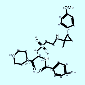 COc1ccc([C@@H]2CC2(C)NCCS(=O)(=O)C[C@H](NC(=O)c2ccc(F)cc2)C(=O)N2CCOCC2)cc1